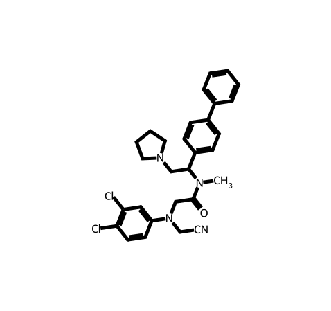 CN(C(=O)CN(CC#N)c1ccc(Cl)c(Cl)c1)C(CN1CCCC1)c1ccc(-c2ccccc2)cc1